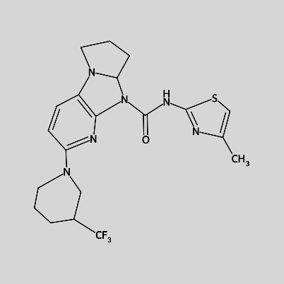 Cc1csc(NC(=O)N2c3nc(N4CCCC(C(F)(F)F)C4)ccc3N3CCCC32)n1